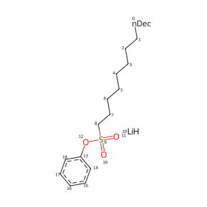 CCCCCCCCCCCCCCCCCCS(=O)(=O)Oc1ccccc1.[LiH]